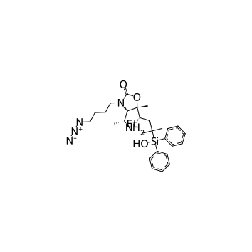 CC[C@@H](CC(C)(C)[Si](O)(c1ccccc1)c1ccccc1)[C@@]1(C)OC(=O)N(CCCCN=[N+]=[N-])[C@@H]1[C@@H](C)N